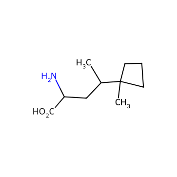 CC(CC(N)C(=O)O)C1(C)CCC1